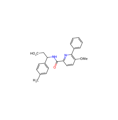 COc1ccc(C(=O)NC(CC(=O)O)c2ccc(C)cc2)nc1-c1ccccc1